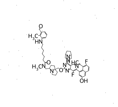 C#Cc1c(F)ccc2cc(O)cc(-c3ncc4c(N5CC6CCC(C5)N6)nc(OCC56CCCN5C(CN(C)C(=O)CCCCCCNc5cccc(C=O)c5C)CC6)nc4c3F)c12